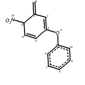 C=C1C=C(Oc2ccccc2)C=CC1[N+](=O)[O-]